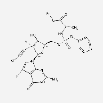 CC(C)OC(=O)C(C)NP(=O)(OC[C@H]1O[C@@H](n2cc(F)c3c(=O)[nH]c(N)nc32)[C@@](F)(C#CCl)C1O)Oc1ccccc1